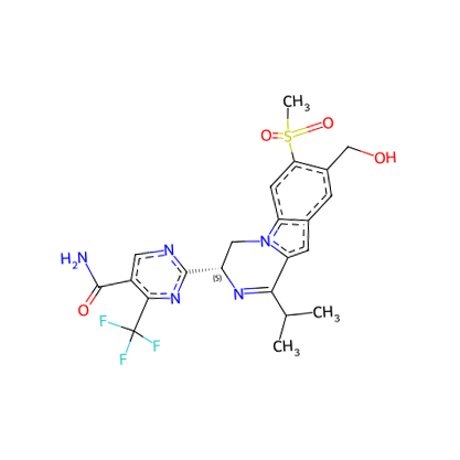 CC(C)C1=N[C@H](c2ncc(C(N)=O)c(C(F)(F)F)n2)Cn2c1cc1cc(CO)c(S(C)(=O)=O)cc12